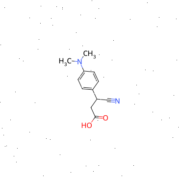 CN(C)c1ccc(C(C#N)CC(=O)O)cc1